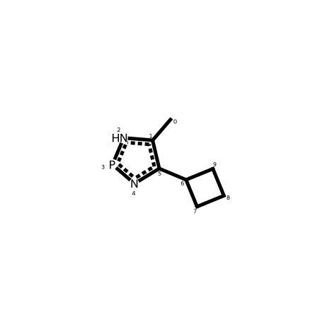 Cc1[nH]pnc1C1CCC1